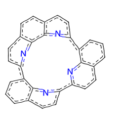 c1cc2ccc3nc2c(c1)c1ccc2ccc4ccc(nc4c2n1)c1cccc2ccc3nc21